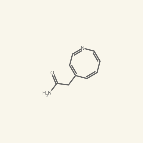 NC(=O)CC1=CC=NC=CC=C1